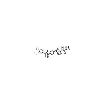 C[C@H](N)C(=O)Nc1ncnc2c1ncn2-c1ccc(NC(=O)Nc2ccc(Cl)c(C(F)(F)F)c2)cc1